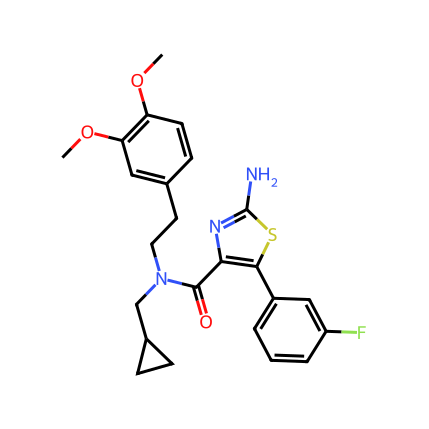 COc1ccc(CCN(CC2CC2)C(=O)c2nc(N)sc2-c2cccc(F)c2)cc1OC